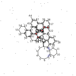 C=C1CCCCC/C=C2/CCCC/C2=C/1c1cc(C)cc(-c2ccccc2O[C@H](C)C(C)C(C)Oc2ccccc2-c2cc(C)cc(-c3c4c(cc5c3CCCC5)CCCC4)c2O)c1O